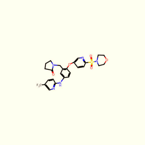 O=C1CCCN1Cc1cc(Nc2ccc(C(F)(F)F)cn2)ccc1Oc1ccc(S(=O)(=O)N2CCOCC2)nc1